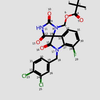 CC(C)(C)C(=O)OCN1C(=O)NC(=O)C12C(=O)N(Cc1ccc(Cl)c(Cl)c1)c1c(F)cccc12